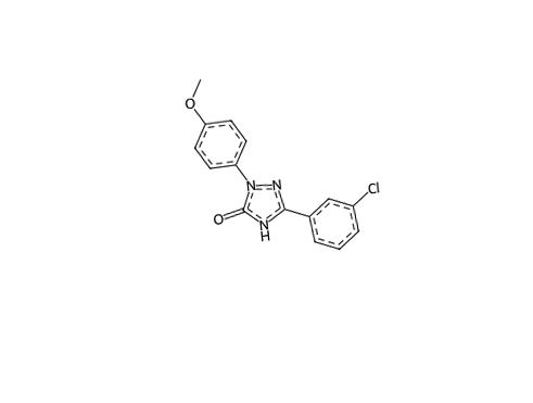 COc1ccc(-n2nc(-c3cccc(Cl)c3)[nH]c2=O)cc1